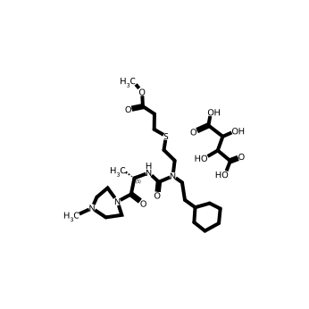 COC(=O)CCSCCN(CCC1CCCCC1)C(=O)N[C@@H](C)C(=O)N1CCN(C)CC1.O=C(O)C(O)C(O)C(=O)O